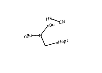 CCCCCCCCN(CCCC)CCCC.N#CS